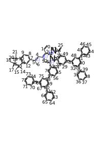 C=CC(=C\C=C(/C)c1ccc2c(c1)C(C)(C)C(C)(C)C2(C)C)/C(=N/C(=C)c1cccc(-c2cc(-c3ccccc3)cc(-c3ccccc3)c2)c1)/N=C(\C)c1cccc(-c2cc(-c3ccccc3)cc(-c3ccccc3)c2)c1